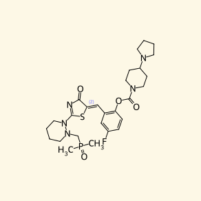 CP(C)(=O)CN1CCCCN1C1=NC(=O)/C(=C/c2cc(F)ccc2OC(=O)N2CCC(N3CCCC3)CC2)S1